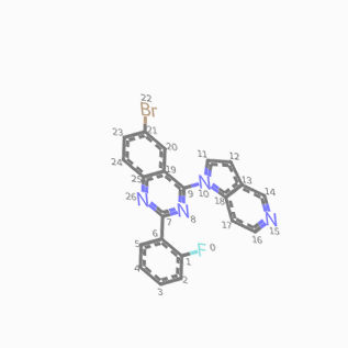 Fc1ccccc1-c1nc(-n2ccc3cnccc32)c2cc(Br)ccc2n1